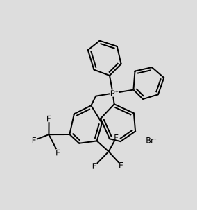 FC(F)(F)c1cc(C[P+](c2ccccc2)(c2ccccc2)c2ccccc2)cc(C(F)(F)F)c1.[Br-]